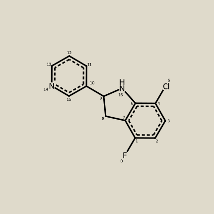 Fc1ccc(Cl)c2c1CC(c1cccnc1)N2